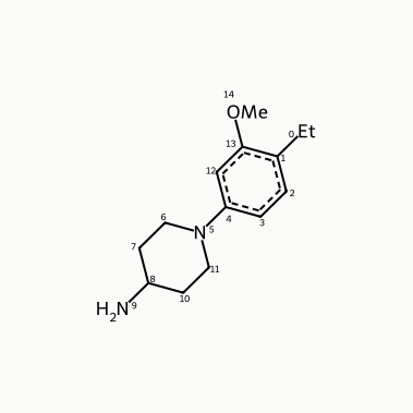 CCc1ccc(N2CCC(N)CC2)cc1OC